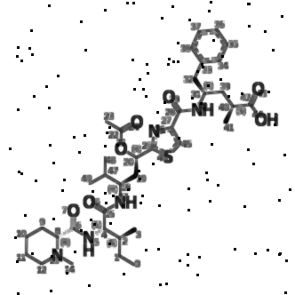 CC[C@H](C)[C@H](NC(=O)[C@H]1CCCCN1C)C(=O)N[C@H](C[C@@H](OC(C)=O)c1nc(C(=O)N[C@@H](Cc2ccccc2)C[C@H](C)C(=O)O)cs1)C(C)C